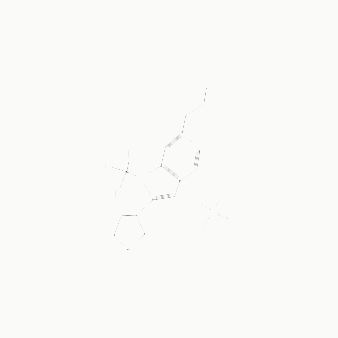 CCCc1ccc2cc(C3CCCC3)[s+](C(F)(F)F)c2c1.F[B-](F)(F)F